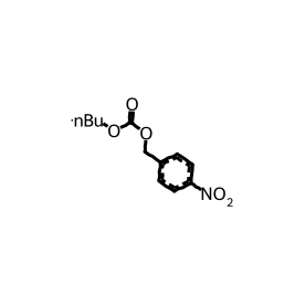 CCC[CH]OC(=O)OCc1ccc([N+](=O)[O-])cc1